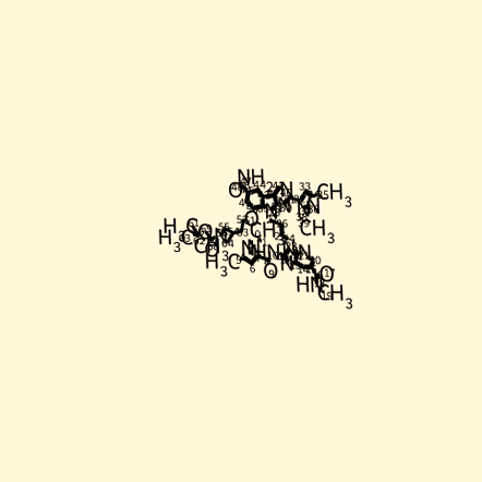 CCn1nc(C)cc1C(=O)Nc1nc2cc(C(=O)NC)cnc2n1C/C=C/Cn1c2nc(-c3cc(C)nn3CC)ncc2c2cc(C(N)=O)cc(OCCC3CN(C(=O)OC(C)(C)C)C3)c21